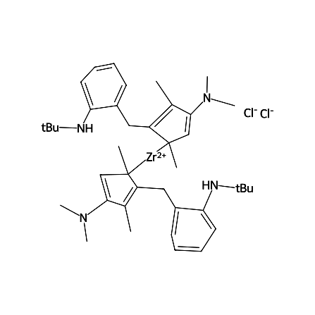 CC1=C(Cc2ccccc2NC(C)(C)C)[C](C)([Zr+2][C]2(C)C=C(N(C)C)C(C)=C2Cc2ccccc2NC(C)(C)C)C=C1N(C)C.[Cl-].[Cl-]